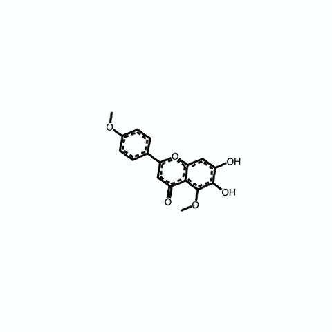 COc1ccc(-c2cc(=O)c3c(OC)c(O)c(O)cc3o2)cc1